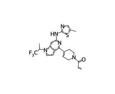 C=CC(=O)N1CC=C(c2nc(Nc3ncc(C)s3)cc3c2ccn3C(C)C(F)(F)F)CC1